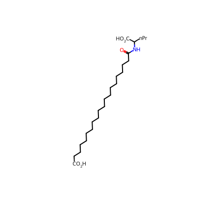 CCCC(NC(=O)CCCCCCCCCCCCCCCCCCC(=O)O)C(=O)O